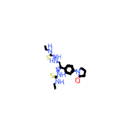 CCNC(=S)N/N=C(/CNNC(=S)NCC)c1ccc(N2CCCC2=O)cc1